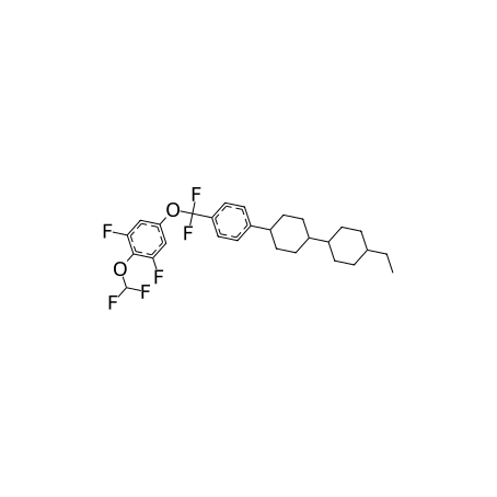 CCC1CCC(C2CCC(c3ccc(C(F)(F)Oc4cc(F)c(OC(F)F)c(F)c4)cc3)CC2)CC1